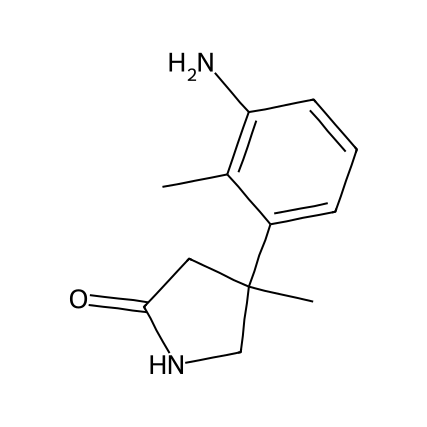 Cc1c(N)cccc1C1(C)CNC(=O)C1